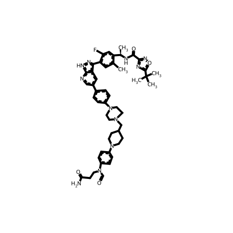 Cc1cc(-c2n[nH]c3ncc(-c4ccc(N5CCN(CC6CCN(c7ccc(N(C=O)CCC(N)=O)cc7)CC6)CC5)cc4)cc23)c(F)cc1[C@@H](C)NC(=O)c1noc(C(C)(C)C)n1